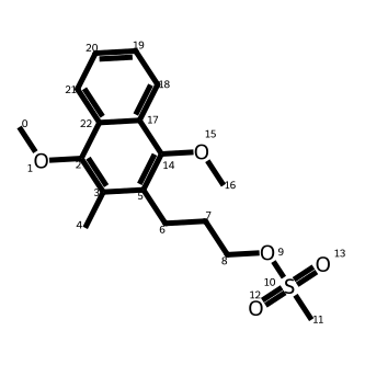 COc1c(C)c(CCCOS(C)(=O)=O)c(OC)c2ccccc12